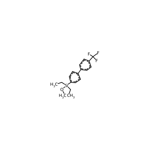 CC[Si](CC)(OC)c1ccc(-c2ccc(C(F)(F)F)cc2)cc1